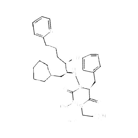 CCC[C@H](NC(=O)[C@H](Cc1ccccc1)N(N[C@@H](CC1CCCCC1)[C@H](O)CCCc1ccccn1)C(=O)NC(C)(C)C)C(=O)O